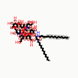 CCCCCCCCCCCCC/C=C/[C@@H](O)[C@H](CO[C@@H]1OC(CO)[C@@H](O[C@@H]2OC(CO)[C@H](O)[C@H](O[C@@H]3OC(CO)[C@@H](O[C@H]4OC(C)[C@@H](O)C(O)[C@@H]4O)[C@H](O[C@@H]4OC(CO)[C@H](O)[C@H](O[C@@H]5OC(CO)[C@@H](O[C@@H]6OC(CO)[C@H](O)[C@H](O)C6O)[C@H](O)C5NC(C)=O)C4O)C3NC(C)=O)C2O)[C@H](O)C1O)NC(=O)CCCCCCCCCCCCCCCCC